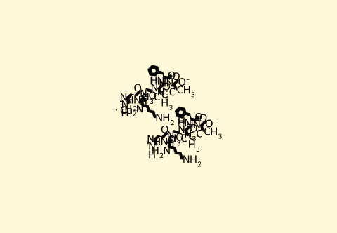 CC(C)[C@H](NC(=O)[C@H](Cc1ccccc1)NC(=O)[C@@H](NC(=O)CNC(=O)[C@H](Cc1c[nH]cn1)NC(=O)[C@@H](N)CCCCN)C(C)C)C(=O)[O-].CC(C)[C@H](NC(=O)[C@H](Cc1ccccc1)NC(=O)[C@@H](NC(=O)CNC(=O)[C@H](Cc1c[nH]cn1)NC(=O)[C@@H](N)CCCCN)C(C)C)C(=O)[O-].[Cu+2]